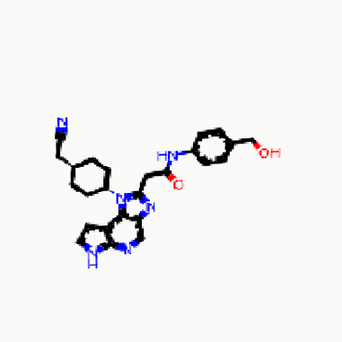 N#CC[C@H]1CC[C@H](n2c(CC(=O)Nc3ccc(CO)cc3)nc3cnc4[nH]ccc4c32)CC1